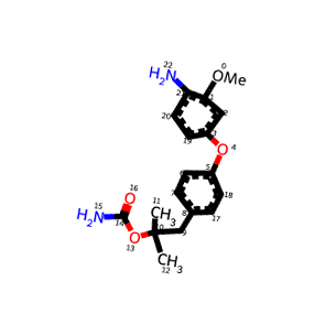 COc1cc(Oc2ccc(CC(C)(C)OC(N)=O)cc2)ccc1N